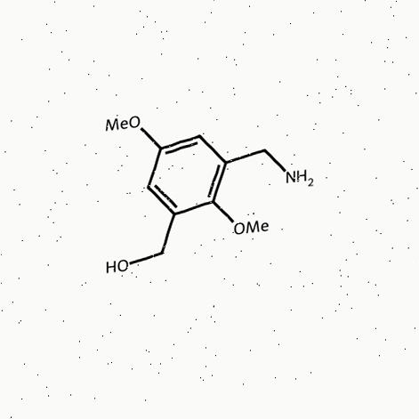 COc1cc(CN)c(OC)c(CO)c1